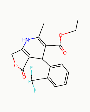 CCOC(=O)C1=C(C)NC2=C(C(=O)OC2)C1c1ccccc1C(F)(F)F